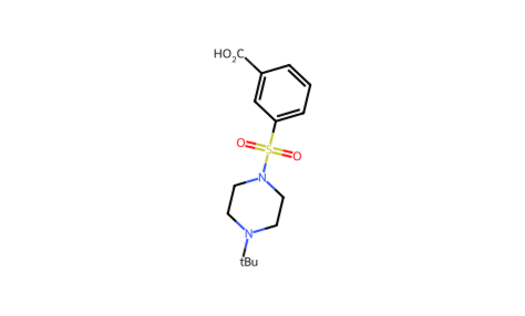 CC(C)(C)N1CCN(S(=O)(=O)c2cccc(C(=O)O)c2)CC1